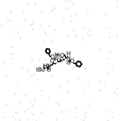 CC(C)(C)OC(=O)NCCC[C@@H](COC[C@@H](CO)NC(=O)OCc1ccccc1)NC(=O)OCc1ccccc1